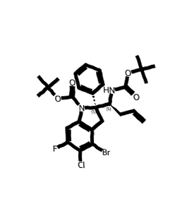 C=CC[C@H](NC(=O)OC(C)(C)C)[C@@]1(c2ccccc2)Cc2c(cc(F)c(Cl)c2Br)N1C(=O)OC(C)(C)C